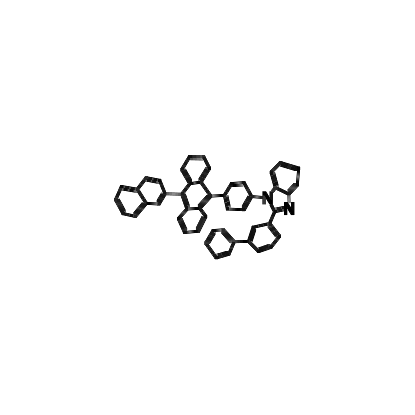 c1ccc(-c2cccc(-c3nc4ccccc4n3-c3ccc(-c4c5ccccc5c(-c5ccc6ccccc6c5)c5ccccc45)cc3)c2)cc1